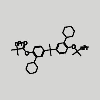 CCCC(C)(C)Oc1ccc(C(C)(C)c2ccc(OC(=O)C(C)(C)CCC)c(C3CCCCC3)c2)cc1C1CCCCC1